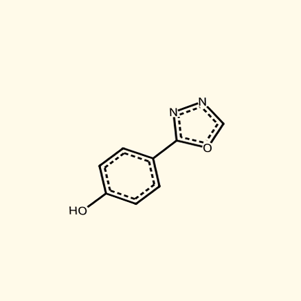 Oc1ccc(-c2nnco2)cc1